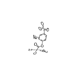 CCCCC(Cl)(CC)C(=O)Oc1ccc(S(=O)(=O)[O-])cc1.[Na+]